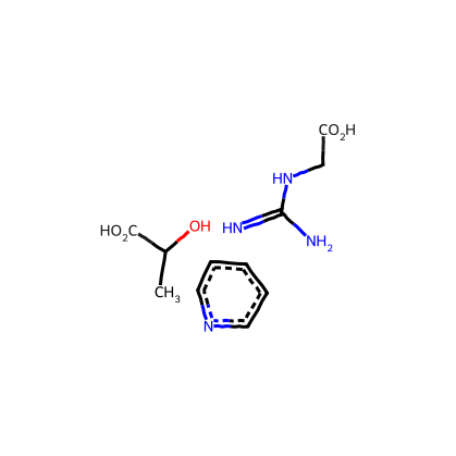 CC(O)C(=O)O.N=C(N)NCC(=O)O.c1ccncc1